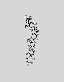 CC1CCC(c2ccc(-c3ccc(C4CCC(C(F)(F)Oc5ccc(OC(F)F)c(F)c5)CC4)c(F)c3)cc2)CC1